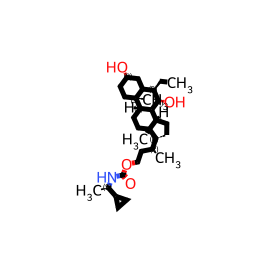 CC[C@@H]1C2C[C@H](O)CC[C@]2(C)[C@H]2CCC3(C)[C@@H]([C@H](C)CCOC(=O)N[C@@H](C)C4CC4)CC[C@H]3C2[C@@H]1O